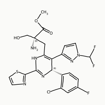 COC(=O)[C@](N)(CO)CC1=C(c2ccn(C(F)F)n2)[C@H](c2ccc(F)cc2Cl)N=C(c2nccs2)N1